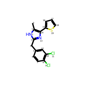 Cc1[nH]c(Cc2ccc(Cl)c(Cl)c2)nc1-c1cccs1